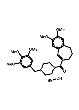 CC(C)O.COc1cc2c(cc1OC)CCCC(C(=O)N1CCN(Cc3cc(OC)c(OC)c(OC)c3)CC1)=C2